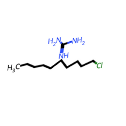 CCCCCCCCCCCl.N=C(N)N